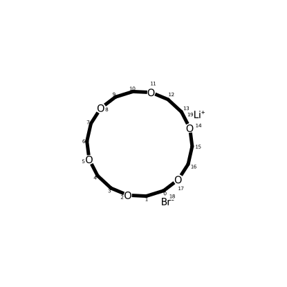 C1COCCOCCOCCOCCOCCO1.[Br-].[Li+]